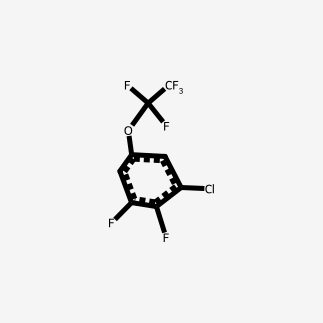 Fc1cc(OC(F)(F)C(F)(F)F)cc(Cl)c1F